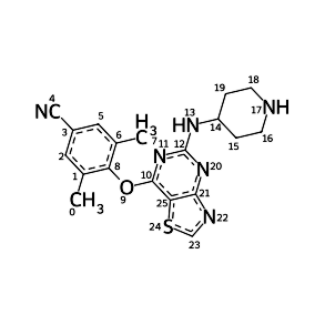 Cc1cc(C#N)cc(C)c1Oc1nc(NC2CCNCC2)nc2ncsc12